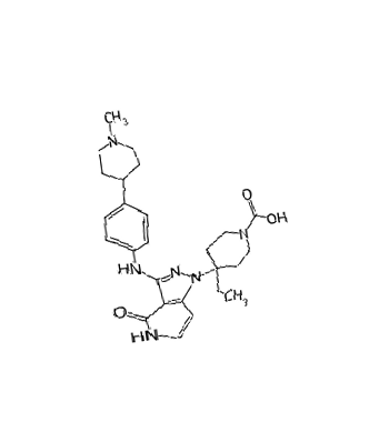 CCC1(n2nc(Nc3ccc(C4CCN(C)CC4)cc3)c3c(=O)[nH]ccc32)CCN(C(=O)O)CC1